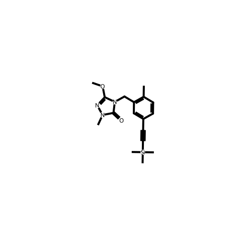 COc1nn(C)c(=O)n1Cc1cc(C#C[Si](C)(C)C)ccc1C